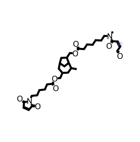 CC1CC(COC(=O)CCCCCN2C(=O)C=CC2=O)CC2CC(COC(=O)CCCCCCN(C)C(=O)/C=C\C=O)C1C2